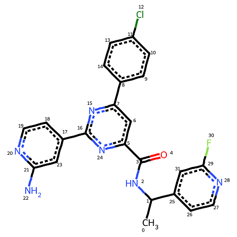 CC(NC(=O)c1cc(-c2ccc(Cl)cc2)nc(-c2ccnc(N)c2)n1)c1ccnc(F)c1